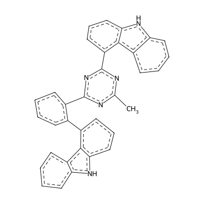 Cc1nc(-c2ccccc2-c2cccc3[nH]c4ccccc4c23)nc(-c2cccc3[nH]c4ccccc4c23)n1